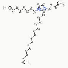 CCCCCCCCCCCCCCCc1n(CCCC)cc[n+]1CCCCCCCC